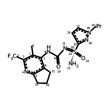 Cc1c(C(F)(F)F)nc2c(c1NC(=O)N=[S@](N)(=O)c1ccn(C(C)C)n1)CCC2